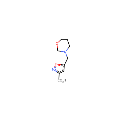 O=C(O)c1cc(CN2CCCOC2)on1